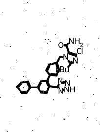 CCCCc1nc(Cl)c(C(N)=O)n1Cc1ccc(-c2cc(-c3ccccc3)ccc2-c2nn[nH]n2)cc1